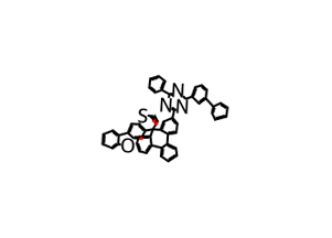 c1ccc(-c2cccc(-c3nc(-c4ccccc4)nc(-c4ccc5c(c4)C4(c6ccccc6Sc6cc7c(cc64)oc4ccccc47)c4ccccc4-c4ccccc4-5)n3)c2)cc1